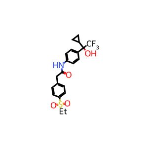 CCS(=O)(=O)c1ccc(CC(=O)Nc2ccc(C(O)(C3CC3)C(F)(F)F)cc2)cc1